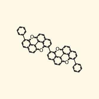 c1ccc(-c2ccc3ccc4oc5c(-c6ccc7ccc8oc9c(-c%10ccccc%10)ccc%10ccc%11oc6c7c8-c%11c%109)ccc6ccc7oc2c3c4-c7c65)cc1